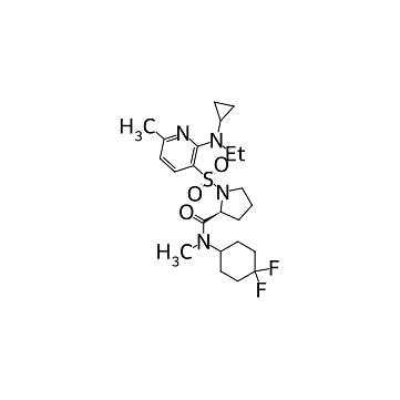 CCN(c1nc(C)ccc1S(=O)(=O)N1CCC[C@H]1C(=O)N(C)C1CCC(F)(F)CC1)C1CC1